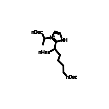 CCCCCCCCCCCCCCC(CCCCCC)c1[nH]cc[n+]1C(C)CCCCCCCCCC